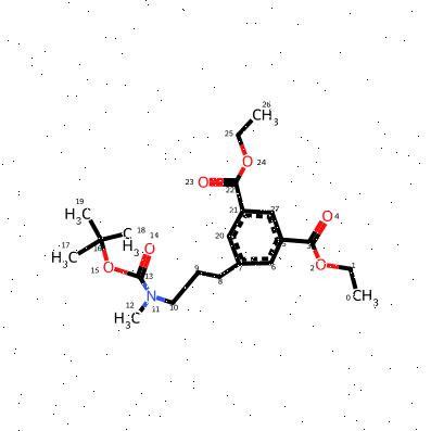 CCOC(=O)c1cc(CCCN(C)C(=O)OC(C)(C)C)cc(C(=O)OCC)c1